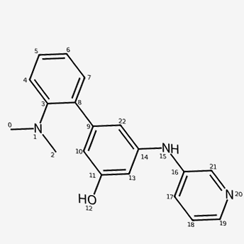 CN(C)c1ccccc1-c1cc(O)cc(Nc2cccnc2)c1